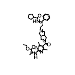 CCOC(=O)[C@H](C)Nc1nc(C)c(C(=O)N2CC3CN(CC[C@H](NC(=O)C4CCCC4)c4ccccc4)CC3C2)c(C)n1